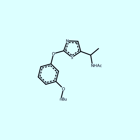 CCCCOc1cccc(Oc2ncc(C(C)NC(C)=O)s2)c1